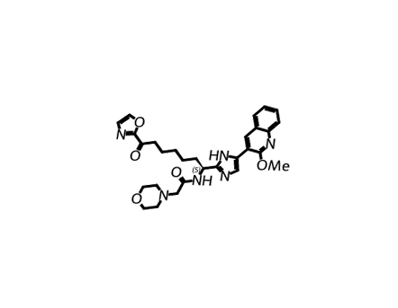 COc1nc2ccccc2cc1-c1cnc([C@H](CCCCCC(=O)c2ncco2)NC(=O)CN2CCOCC2)[nH]1